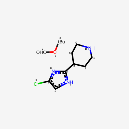 CC(C)(C)OC=O.Clc1c[nH]c(C2CCNCC2)n1